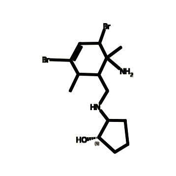 CC1C(Br)=CC(Br)C(C)(N)C1CNC1CCC[C@@H]1O